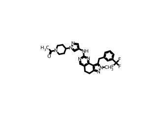 CC(=O)N1CCC(n2cc(Nc3ncc4c(n3)-c3c(nn(C)c3Cc3cccc(C(F)(F)F)c3)CC4)cn2)CC1